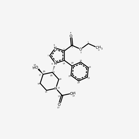 CCOC(=O)c1ncn([C@@H]2CN(C(=O)O)CC[C@H]2O)c1-c1ccccc1